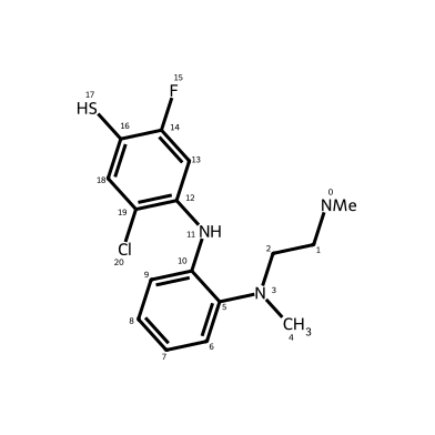 CNCCN(C)c1ccccc1Nc1cc(F)c(S)cc1Cl